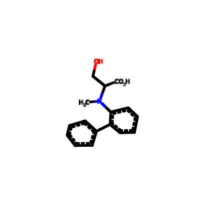 CN(c1ccccc1-c1ccccc1)C(CO)C(=O)O